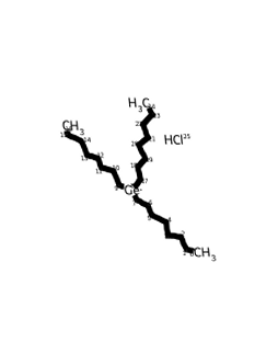 CCCCCCC[CH2][Ge]([CH2]CCCCCCC)[CH2]CCCCCCC.Cl